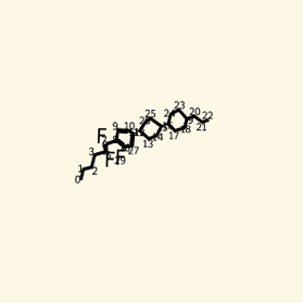 CCCC/C(F)=C(\F)c1ccc([C@H]2CC[C@H](C3CCC(CCC)CC3)CC2)cc1F